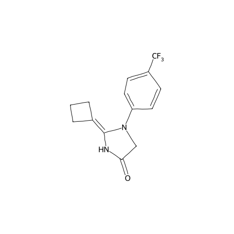 O=C1CN(c2ccc(C(F)(F)F)cc2)C(=C2CCC2)N1